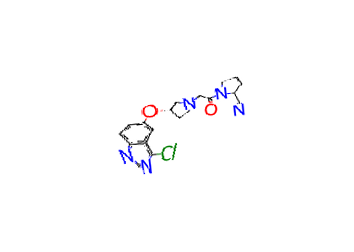 N#CC1CCCN1C(=O)CN1CC[C@H](Oc2ccc3ncnc(Cl)c3c2)C1